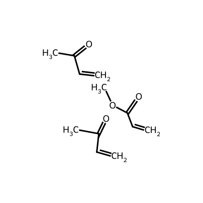 C=CC(=O)OC.C=CC(C)=O.C=CC(C)=O